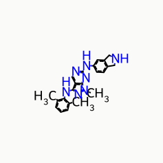 Cc1cccc(C)c1Nc1nn(C)c2nc(Nc3ccc4c(c3)CNC4)ncc12